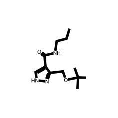 CCCNC(=O)c1c[nH]nc1COC(C)(C)C